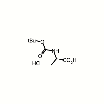 C[C@@H](NC(=O)OC(C)(C)C)C(=O)O.Cl